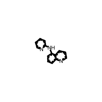 c1ccc(Nc2cccc3ncccc23)nc1